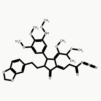 CONc1cc(C2C(=C(\OC)C(C)OC)/C(=C\CC(=O)N=[N+]=[N-])C(=O)C2CCc2ccc3c(c2)OCO3)cc(OC)c1OC